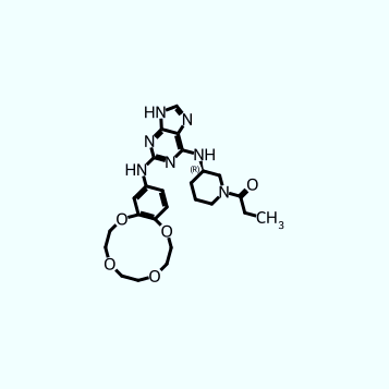 CCC(=O)N1CCC[C@@H](Nc2nc(Nc3ccc4c(c3)OCCOCCOCCO4)nc3[nH]cnc23)C1